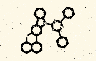 c1ccc(-c2nc(-c3ccccc3)nc(-n3c4ccccc4c4cc5c(cc43)-c3cccc4cccc(c34)S5)n2)cc1